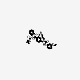 CCOc1cccc(NC(=O)N(CCCN(C)C)Cc2ccc(C(=O)Nc3ccccc3NC(=O)OC(C)(C)C)cc2)c1